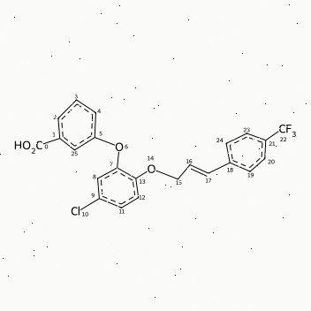 O=C(O)c1cccc(Oc2cc(Cl)ccc2OC/C=C/c2ccc(C(F)(F)F)cc2)c1